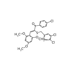 COc1cc(OC)c(C=C(SCc2ccc(Cl)c(Cl)c2)C(=O)c2ccc(Cl)cc2)c(OC)c1